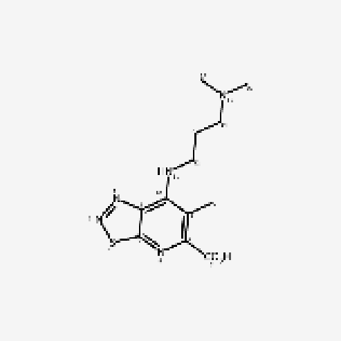 Cc1c(C(=O)O)nc2snnc2c1NCCCN(C)C